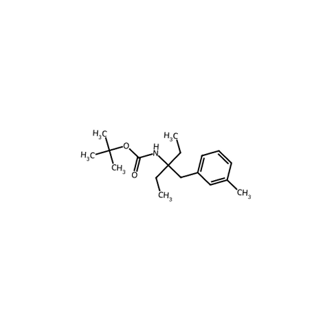 CCC(CC)(Cc1cccc(C)c1)NC(=O)OC(C)(C)C